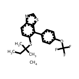 C.CCC(C)(C)Sc1ccc2ncsc2c1-c1ccc(OC(F)(F)F)cc1